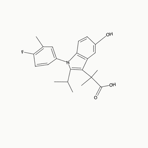 Cc1cc(-n2c(C(C)C)c(C(C)(C)C(=O)O)c3cc(O)ccc32)ccc1F